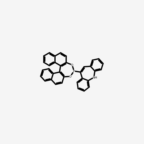 C1=C(p2oc3ccc4ccccc4c3c3c(ccc4ccccc43)o2)c2ccccc2Nc2ccccc21